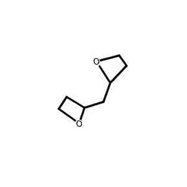 C1C[C](CC2CCO2)O1